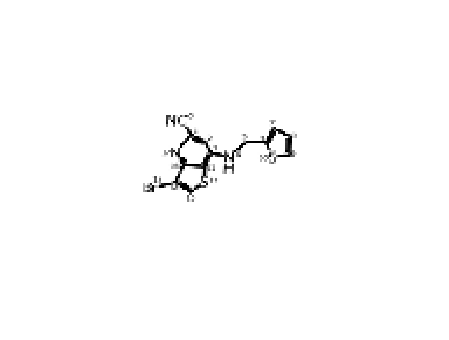 N#Cc1cc(NCc2cccs2)c2scc(Br)c2n1